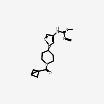 C=N/C(=N\C)Nc1cnn(C2CCN(C(=O)C34CC(C3)C4)CC2)c1